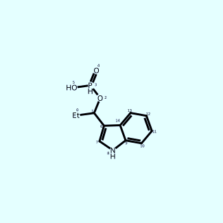 CCC(O[PH](=O)O)c1c[nH]c2ccccc12